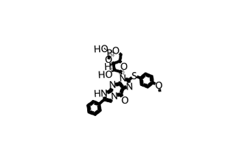 COc1ccc(Sc2nc3c(=O)n4cc(-c5ccccc5)[nH]c4nc3n2[C@@H]2OC3CO[P@@](O)O[C@H]3[C@@H]2O)cc1